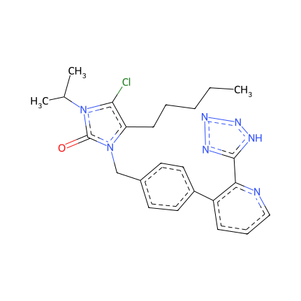 CCCCCc1c(Cl)n(C(C)C)c(=O)n1Cc1ccc(-c2cccnc2-c2nnn[nH]2)cc1